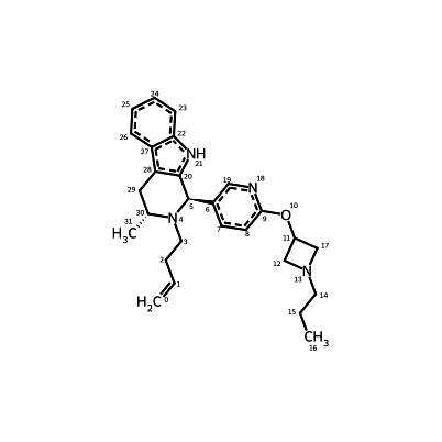 C=CCCN1[C@H](c2ccc(OC3CN(CCC)C3)nc2)c2[nH]c3ccccc3c2C[C@H]1C